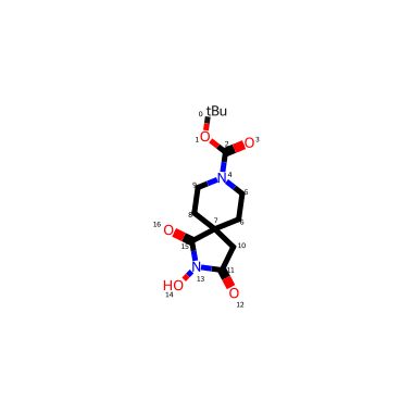 CC(C)(C)OC(=O)N1CCC2(CC1)CC(=O)N(O)C2=O